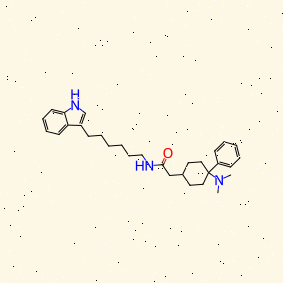 CN(C)C1(c2ccccc2)CCC(CC(=O)NCCCCCCc2c[nH]c3ccccc23)CC1